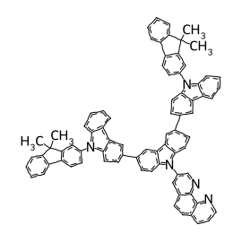 CC1(C)c2ccccc2-c2ccc(-n3c4ccccc4c4cc(-c5ccc6c(c5)c5cc(-c7ccc8c(c7)c7ccccc7n8-c7ccc8c(c7)C(C)(C)c7ccccc7-8)ccc5n6-c5cnc6c(ccc7cccnc76)c5)ccc43)cc21